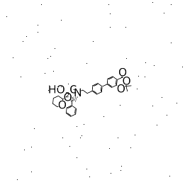 CC1(C)OC(=O)c2ccc(-c3ccc(CCN(C[C@@H](OC4CCCCO4)c4ccccc4)C(=O)O)cc3)cc2O1